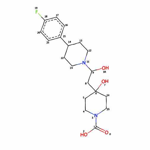 O=C(O)N1CCC(O)(CC(O)N2CCC(c3ccc(F)cc3)CC2)CC1